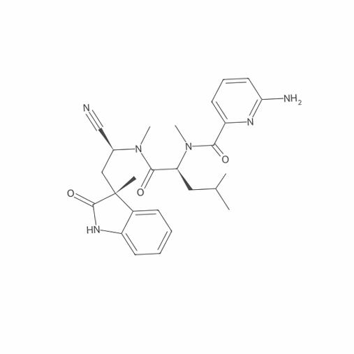 CC(C)C[C@@H](C(=O)N(C)[C@H](C#N)C[C@@]1(C)C(=O)Nc2ccccc21)N(C)C(=O)c1cccc(N)n1